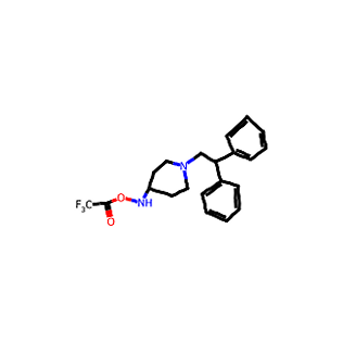 O=C(ONC1CCN(CC(c2ccccc2)c2ccccc2)CC1)C(F)(F)F